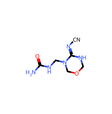 N#C/N=C1\NCOCN1CNC(N)=O